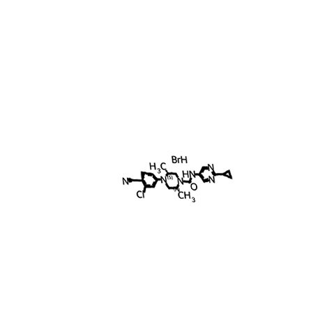 Br.C[C@@H]1CN(c2ccc(C#N)c(Cl)c2)[C@@H](C)CN1C(=O)Nc1cnc(C2CC2)nc1